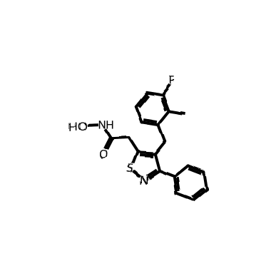 Cc1c(F)cccc1Cc1c(-c2ccccc2)nsc1CC(=O)NO